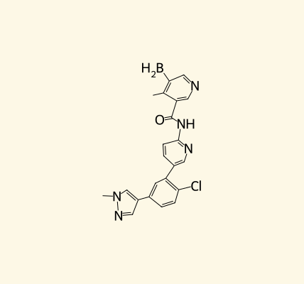 Bc1cncc(C(=O)Nc2ccc(-c3cc(-c4cnn(C)c4)ccc3Cl)cn2)c1C